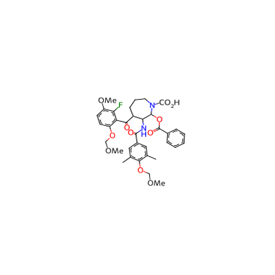 COCOc1ccc(OC)c(F)c1C(=O)C1CCCN(C(=O)O)C(OC(=O)c2ccccc2)C1NC(=O)c1cc(C)c(OCOC)c(C)c1